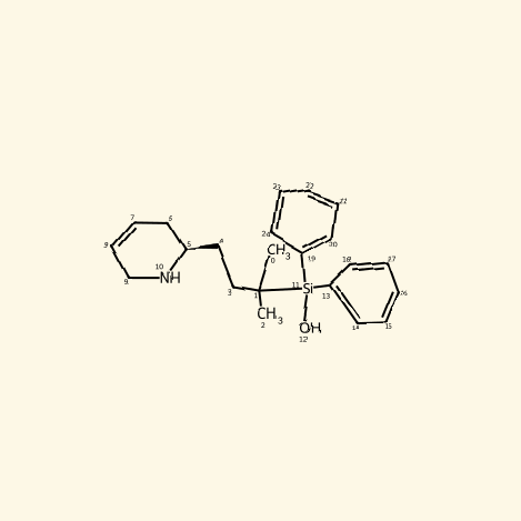 CC(C)(CC[C@@H]1CC=CCN1)[Si](O)(c1ccccc1)c1ccccc1